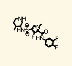 CC1CCNCC1NS(=O)(=O)c1cn(C)c(C(=O)Nc2ccc(F)c(F)c2)c1F